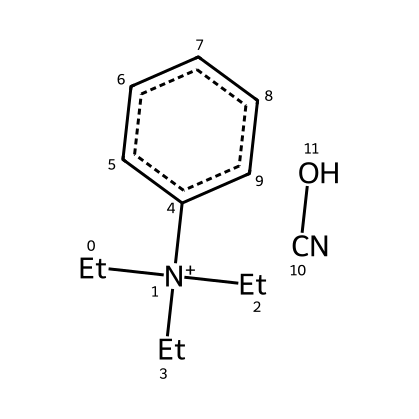 CC[N+](CC)(CC)c1ccccc1.N#CO